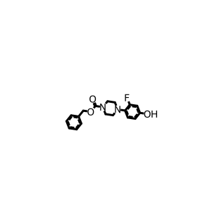 O=C(OCc1ccccc1)N1CCN(c2ccc(O)cc2F)CC1